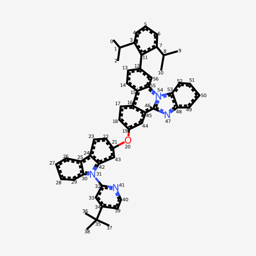 CC(C)c1cccc(C(C)C)c1-c1ccc2c3ccc(Oc4ccc5c6ccccc6n(-c6cc(C(C)(C)C)ccn6)c5c4)cc3c3nc4ccccc4n3c2c1